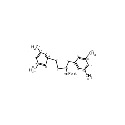 CCCCCC([CH]Cc1cc(C)cc(C)c1)Cc1cc(C)cc(C)c1